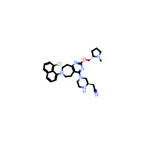 CN1CCC[C@H]1COc1nc2c(c(N3CCN[C@H](CC#N)C3)n1)CCN(c1cccc3cccc(Cl)c13)CC2